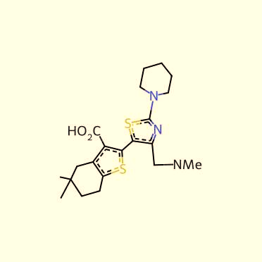 CNCc1nc(N2CCCCC2)sc1-c1sc2c(c1C(=O)O)CC(C)(C)CC2